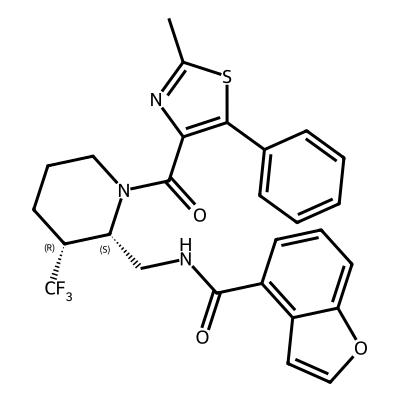 Cc1nc(C(=O)N2CCC[C@@H](C(F)(F)F)[C@H]2CNC(=O)c2cccc3occc23)c(-c2ccccc2)s1